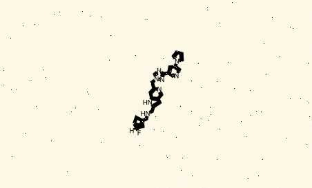 F[C@H]1CC2(CNCc3cc4cnc(Cn5cnc(-c6cncc(-n7cccc7)c6)n5)cc4[nH]3)CC1C2